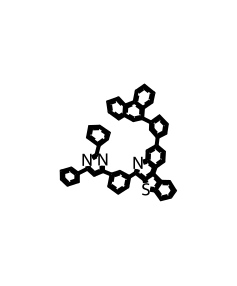 c1ccc(-c2cc(-c3cccc(-c4nc5cc(-c6cccc(-c7cc8ccccc8c8ccccc78)c6)ccc5c5c4sc4ccccc45)c3)nc(-c3ccccc3)n2)cc1